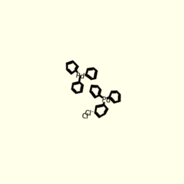 [Cl-].[Cl-].c1cc[c]([Pd+]([c]2ccccc2)[c]2ccccc2)cc1.c1cc[c]([Pd+]([c]2ccccc2)[c]2ccccc2)cc1